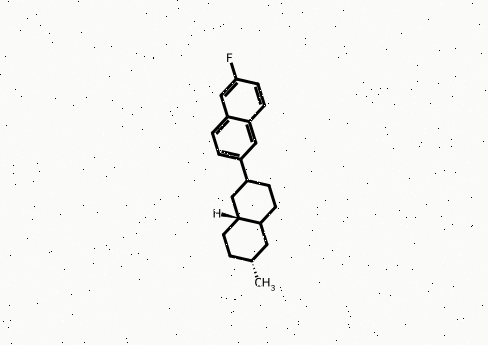 C[C@@H]1CC[C@@H]2CC(c3ccc4cc(F)ccc4c3)CCC2C1